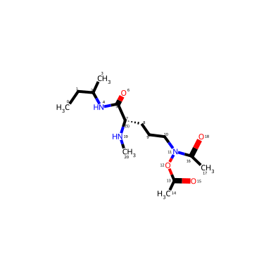 CCC(C)NC(=O)[C@H](CCCN(OC(C)=O)C(C)=O)NC